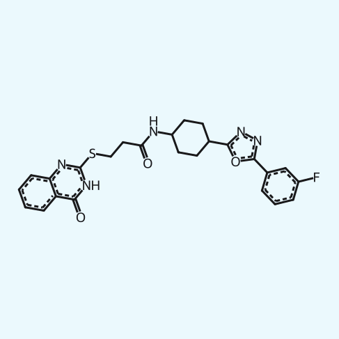 O=C(CCSc1nc2ccccc2c(=O)[nH]1)NC1CCC(c2nnc(-c3cccc(F)c3)o2)CC1